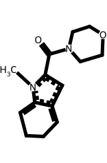 Cn1c(C(=O)N2CCOCC2)cc2c1=CCCC=2